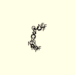 O=C(c1ccc(C(F)(F)F)nc1)N1CC2(CCN(c3cnc4cnn(CC(F)F)c4n3)CC2)C1